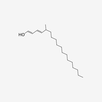 CCCCCCCCCCCCCC(C)C=CC=CO